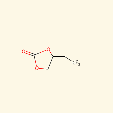 O=C1OCC(CC(F)(F)F)O1